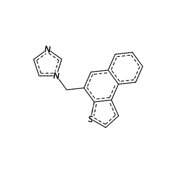 c1ccc2c(c1)cc(Cn1ccnc1)c1sccc12